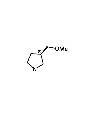 COC[C@@H]1CC[N]C1